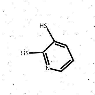 Sc1cccnc1S